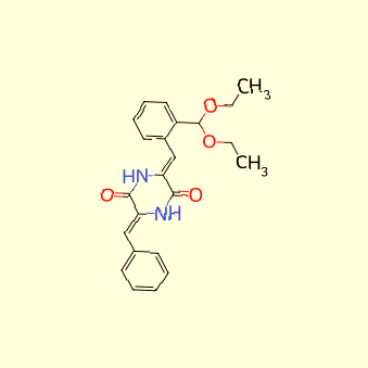 CCOC(OCC)c1ccccc1/C=c1\[nH]c(=O)/c(=C/c2ccccc2)[nH]c1=O